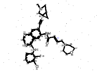 CN1CC2C[C@@]2(C#Cc2cc3ncnc(Nc4cccc(Cl)c4F)c3cc2NC(=O)/C=C/CN2CCOCC2)C1